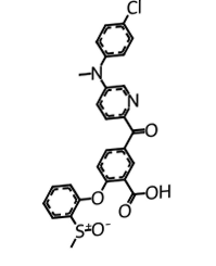 CN(c1ccc(Cl)cc1)c1ccc(C(=O)c2ccc(Oc3ccccc3[S+](C)[O-])c(C(=O)O)c2)nc1